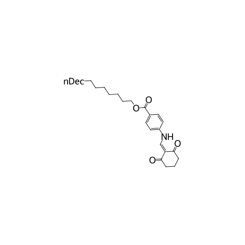 CCCCCCCCCCCCCCCCCOC(=O)c1ccc(NC=C2C(=O)CCCC2=O)cc1